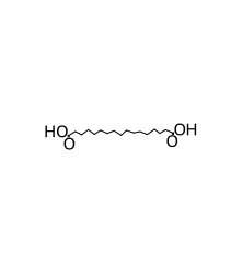 O=C(O)CCCCCCCCCCCCCCCC(=O)O